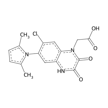 Cc1ccc(C)n1-c1cc2[nH]c(=O)c(=O)n(CC(=O)O)c2cc1Cl